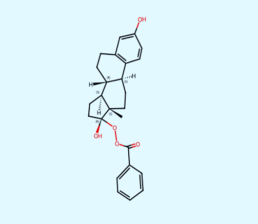 C[C@]12CC[C@@H]3c4ccc(O)cc4CC[C@H]3[C@@H]1CC[C@@]2(O)OOC(=O)c1ccccc1